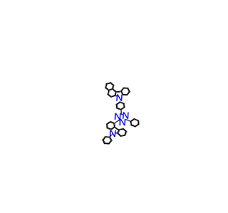 c1ccc(-c2nc(-c3ccc(-n4c5ccccc5c5c6ccccc6ccc54)cc3)nc(-c3cccc4c3c3ccccc3n4-c3ccccc3)n2)cc1